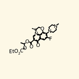 CCOC(=O)OC(C)OC(=O)c1cn2c3c(c(N4CCN(C)CC4)c(F)cc3c1=O)OC[C@@H]2C